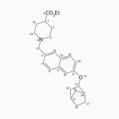 CCOC(=O)C1CCN(Cc2ccc3cc(OC4CC5CCC4C5)ccc3c2)CC1